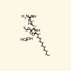 CCCCCCCCCCCC(=O)N[C@@H](CCCNC(=N)N)C(=O)OCC.Cl.Cl